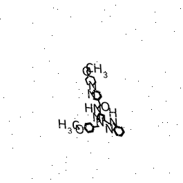 COc1ccc(Cn2nc(NC(=O)c3ccc(N4CCC(OC)CC4)nc3)cc2-c2nc3ccccc3[nH]2)cc1